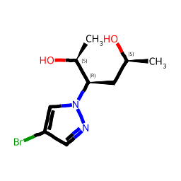 C[C@H](O)C[C@H]([C@H](C)O)n1cc(Br)cn1